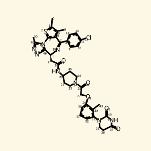 Cc1sc2c(c1C)C(c1ccc(Cl)cc1)=N[C@@H](CC(=O)NC1CCN(C(=O)COc3cccc(N4CCC(=O)NC4=O)c3C)CC1)c1nnc(C)n1-2